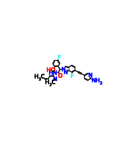 C=N/C(=C\C=C/C)NC(=O)C(c1cc(F)ccc1O)n1cc2ccc(C#Cc3ccc(N)nc3)c(F)c2n1